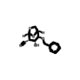 N#C[C@@H]1[C@@H]2OC[C@@H](O2)[C@@H](OCc2ccccc2)[C@@H]1O